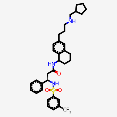 O=C(C[C@@H](NS(=O)(=O)c1cccc(C(F)(F)F)c1)c1ccccc1)NC1CCCc2cc(CCCNCC3CCCC3)ccc21